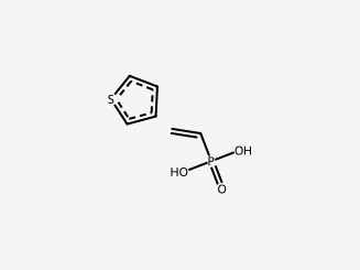 C=CP(=O)(O)O.c1ccsc1